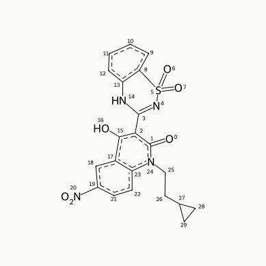 O=c1c(C2=NS(=O)(=O)c3ccccc3N2)c(O)c2cc([N+](=O)[O-])ccc2n1CCC1CC1